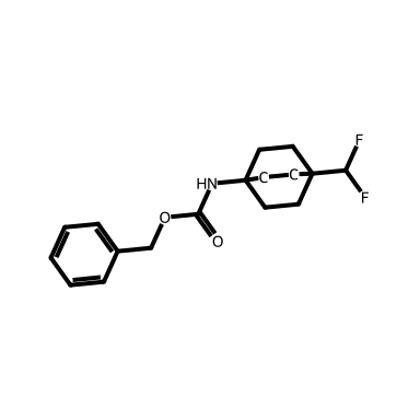 O=C(NC12CCC(C(F)F)(CC1)CC2)OCc1ccccc1